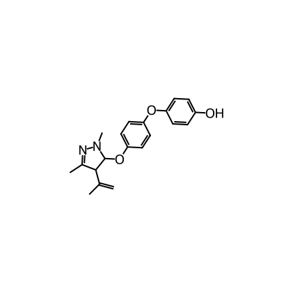 C=C(C)C1C(C)=NN(C)C1Oc1ccc(Oc2ccc(O)cc2)cc1